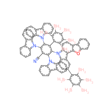 Bc1c(B)c(B)c(-c2ccc3c(c2)c2c4oc5ccccc5c4ccc2n3-c2c(-c3c(B)c(B)c(B)c(B)c3B)c(-n3c4ccccc4c4ccccc43)c(-n3c4ccccc4c4ccccc43)c(C#N)c2-n2c3ccccc3c3ccccc32)c(B)c1B